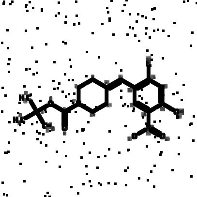 CC(C)(C)OC(=O)N1CCC(=Cc2cc([N+](=O)[O-])c(O)cc2F)CC1